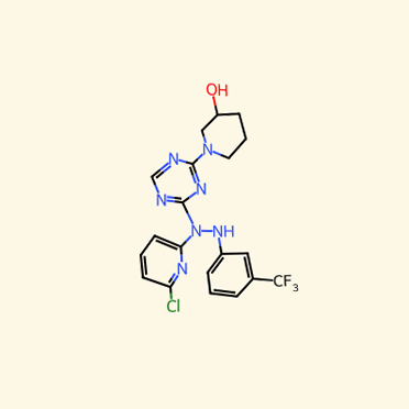 OC1CCCN(c2ncnc(N(Nc3cccc(C(F)(F)F)c3)c3cccc(Cl)n3)n2)C1